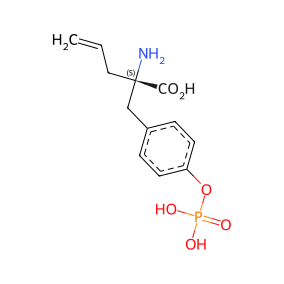 C=CC[C@](N)(Cc1ccc(OP(=O)(O)O)cc1)C(=O)O